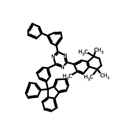 Cc1cc2c(cc1-c1nc(-c3cccc(-c4ccccc4)c3)nc(-c3cccc(C4(c5ccccc5)c5ccccc5-c5ccccc54)c3)n1)C(C)(C)CCC2(C)C